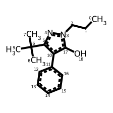 CCCn1nc(C(C)(C)C)c(-c2ccccc2)c1O